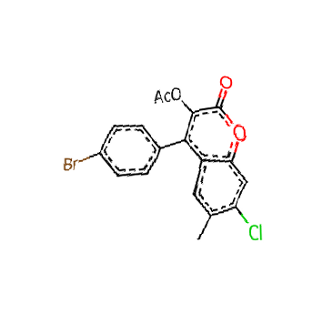 CC(=O)Oc1c(-c2ccc(Br)cc2)c2cc(C)c(Cl)cc2oc1=O